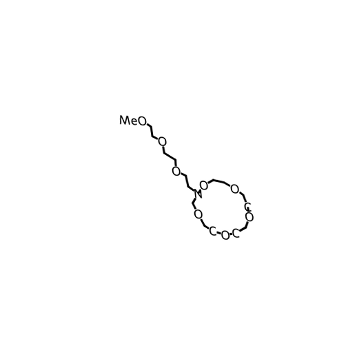 COCCOCCOCCN1COCCOCCOCCOCCO1